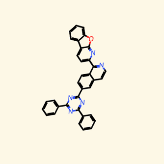 c1ccc(-c2nc(-c3ccccc3)nc(-c3ccc4c(-c5ccc6c(n5)oc5ccccc56)nccc4c3)n2)cc1